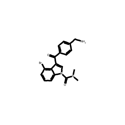 CN(C)C(=O)n1cc(C(=O)c2ccc(CN)cc2)c2c(Br)cccc21